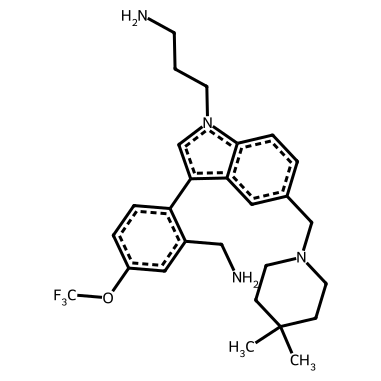 CC1(C)CCN(Cc2ccc3c(c2)c(-c2ccc(OC(F)(F)F)cc2CN)cn3CCCN)CC1